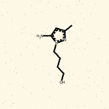 Cc1cc(N)n(CCCCO)n1